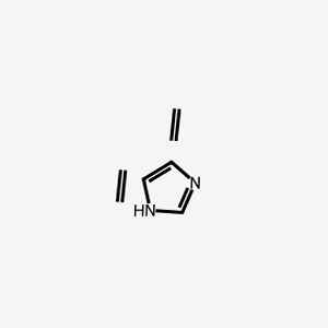 C=C.C=C.c1c[nH]cn1